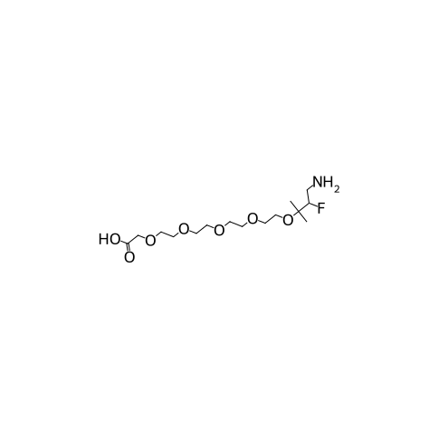 CC(C)(OCCOCCOCCOCCOCC(=O)O)C(F)CN